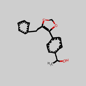 CC(O)c1ccc(C2=C(Cc3ccccc3)OCO2)cc1